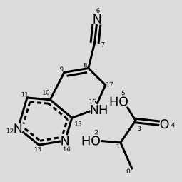 CC(O)C(=O)O.N#CC1=Cc2cncnc2NC1